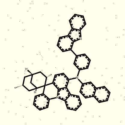 C[C@@H]1C[C@H]2C[C@H](C1)C1(c3ccccc3-n3c4ccccc4c4c(N(c5cccc(-c6cccc7c6sc6ccccc67)c5)c5ccc6ccccc6c5)ccc1c43)[C@@H](C)C2